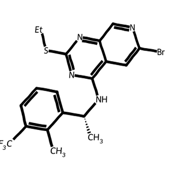 CCSc1nc(N[C@H](C)c2cccc(C(F)(F)F)c2C)c2cc(Br)ncc2n1